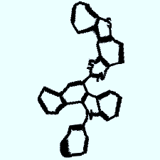 c1ccc(-n2c3ccccc3c3c(-c4nc5ccc6sc7ccccc7c6c5s4)cc4ccccc4c32)cc1